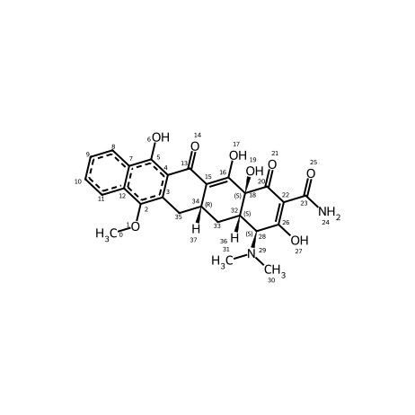 COc1c2c(c(O)c3ccccc13)C(=O)C1=C(O)[C@]3(O)C(=O)C(C(N)=O)=C(O)[C@@H](N(C)C)[C@@H]3C[C@@H]1C2